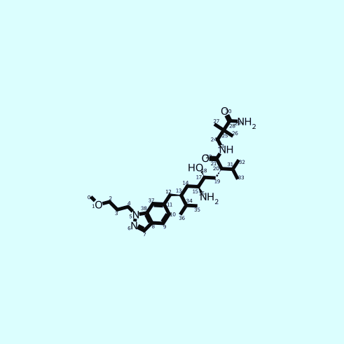 COCCCn1ncc2ccc(C[C@@H](C[C@H](N)[C@H](O)C[C@H](C(=O)NCC(C)(C)C(N)=O)C(C)C)C(C)C)cc21